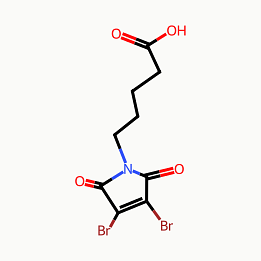 O=C(O)CCCCN1C(=O)C(Br)=C(Br)C1=O